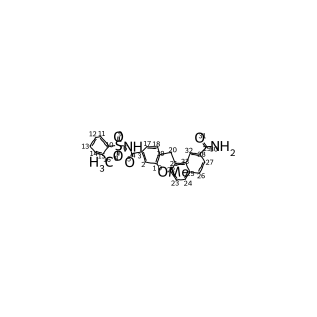 COc1cc(C(=O)NS(=O)(=O)c2ccccc2C)ccc1Cc1cccc2ccc(C(N)=O)cc12